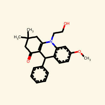 COc1ccc2c(c1)N(CCO)C1=C(C(=O)CC(C)(C)C1)C2c1ccccc1